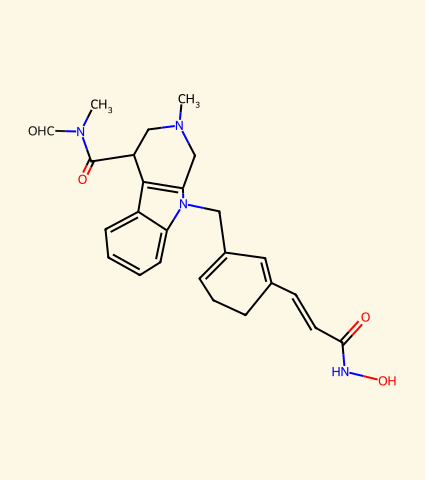 CN1Cc2c(c3ccccc3n2CC2=CCCC(/C=C/C(=O)NO)=C2)C(C(=O)N(C)C=O)C1